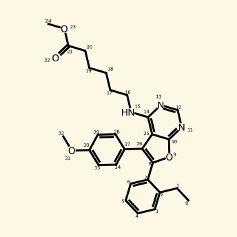 CCc1ccccc1-c1oc2ncnc(NCCCCCC(=O)OC)c2c1-c1ccc(OC)cc1